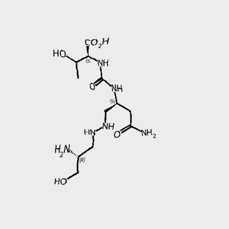 CC(O)[C@H](NC(=O)N[C@H](CNNC[C@@H](N)CO)CC(N)=O)C(=O)O